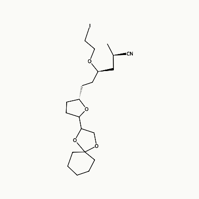 C[C@@H](C#N)C[C@@H](CC[C@H]1CCC(C2COC3(CCCCC3)O2)O1)OCCI